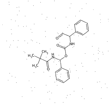 CC(C)(C)C(=O)NC(OC(=O)NC([C]=O)c1ccccc1)c1ccccc1